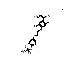 CCC(CC)(Oc1ccc(OCCOc2cc(C)c(/C(=C\C(C)(C)C)C(F)(F)F)cc2Cl)cc1)C(=O)O